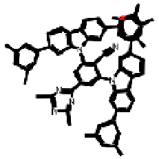 Cc1cc(C)cc(-c2ccc3c4ccc(-c5cc(C)cc(C)c5)cc4n(-c4cc(-c5nc(C)nc(C)n5)cc(-n5c6cc(-c7cc(C)cc(C)c7)ccc6c6ccc(-c7cc(C)cc(C)c7)cc65)c4C#N)c3c2)c1